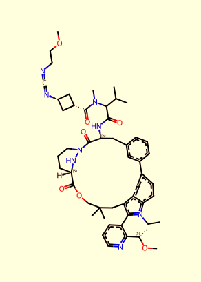 CCn1c(-c2cccnc2[C@H](C)OC)c2c3cc(ccc31)-c1cccc(c1)C[C@H](NC(=O)C(C(C)C)N(C)C(=O)[C@H]1C[C@H](N=C=NCCOC)C1)C(=O)N1CCC[C@H](N1)C(=O)OCC(C)(C)C2